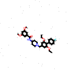 CCOc1cc(CN2CCC(NC(=O)c3cc(OC)cc(OC)c3)CC2)cc(OCC)c1-c1ccc(F)cc1